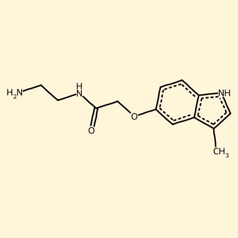 Cc1c[nH]c2ccc(OCC(=O)NCCN)cc12